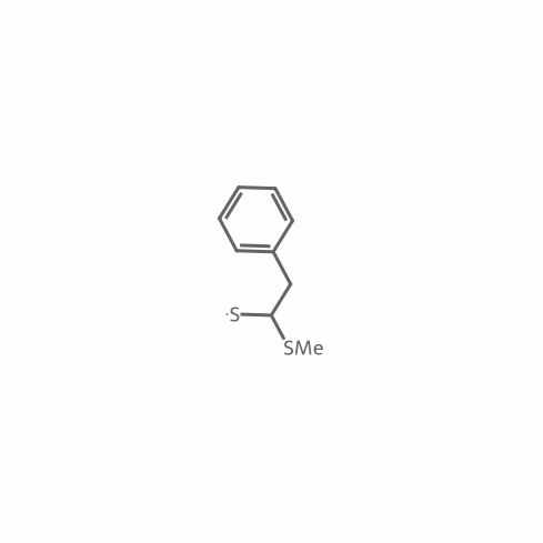 CSC([S])Cc1ccccc1